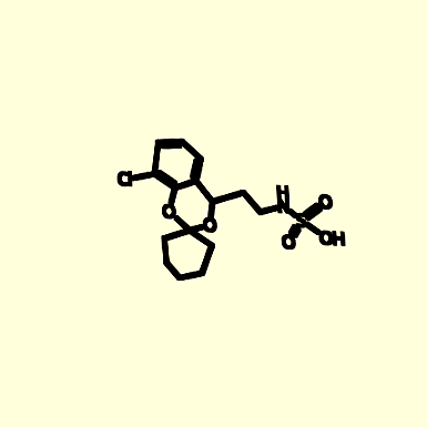 O=S(=O)(O)NCCC1OC2(CCCCC2)Oc2c(Cl)cccc21